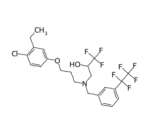 CCc1cc(OCCCN(Cc2cccc(C(F)(F)C(F)(F)F)c2)CC(O)C(F)(F)F)ccc1Cl